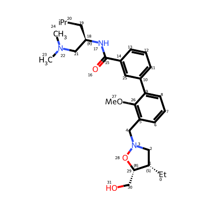 CC[C@H]1CN(Cc2cccc(-c3cccc(C(=O)N[C@H](CC(C)C)CN(C)C)c3)c2OC)O[C@H]1CO